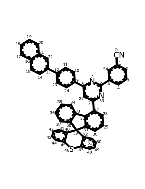 N#Cc1cccc(-c2nc(-c3ccc(-c4ccc5ccccc5c4)cc3)cc(-c3cccc4c3-c3ccccc3C43c4ccccc4Sc4ccccc43)n2)c1